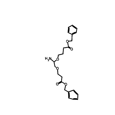 NC(COCCC(=O)OCc1ccccc1)OCCCC(=O)OCc1ccccc1